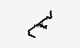 CCCCC/C=C\C/C=C\CCCCCCCCC(CCCCCCCC/C=C\C/C=C\CCCCC)NC(=O)CCCN(C)CC